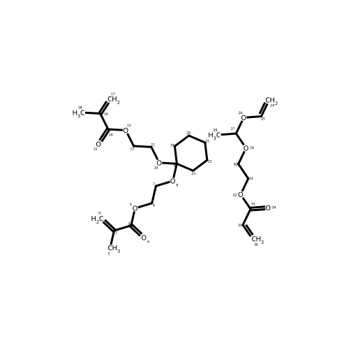 C=C(C)C(=O)OCCOC1(OCCOC(=O)C(=C)C)CCCCC1.C=COC(C)OCCOC(=O)C=C